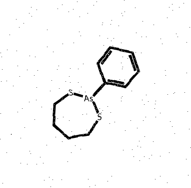 c1ccc([As]2SCCCCS2)cc1